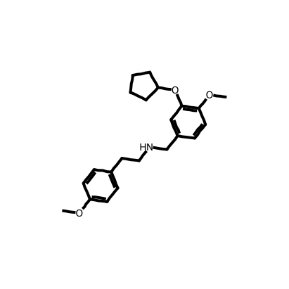 COc1ccc(CCNCc2ccc(OC)c(OC3CCCC3)c2)cc1